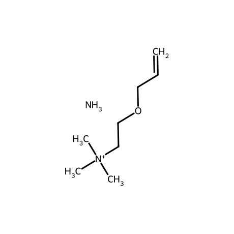 C=CCOCC[N+](C)(C)C.N